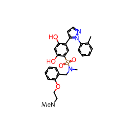 CNCCOc1ccccc1CN(C)S(=O)(=O)c1cc(-c2ccnn2-c2ccccc2C)c(O)cc1O